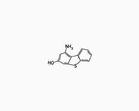 Nc1cc(O)cc2sc3ccccc3c12